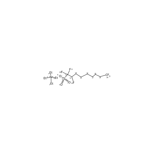 CC[N+](CC)(CC)CC.O=S(=O)([O-])C(F)(F)C(F)CCCCCCC(F)(F)F